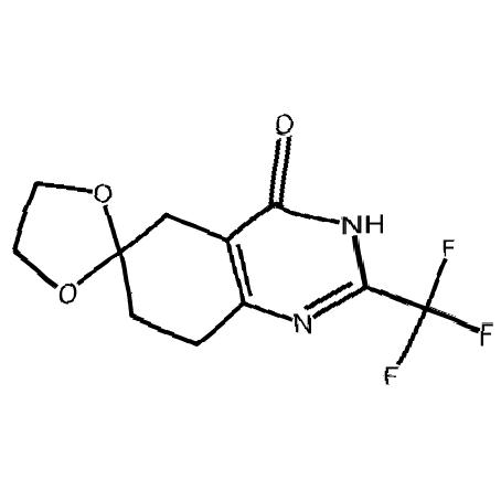 O=c1[nH]c(C(F)(F)F)nc2c1CC1(CC2)OCCO1